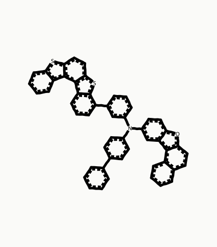 c1ccc(-c2ccc(N(c3cccc(-c4cccc5c4sc4ccc6sc7ccccc7c6c45)c3)c3ccc4oc5ccc6ccccc6c5c4c3)cc2)cc1